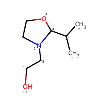 CC(C)C1OCCN1CCO